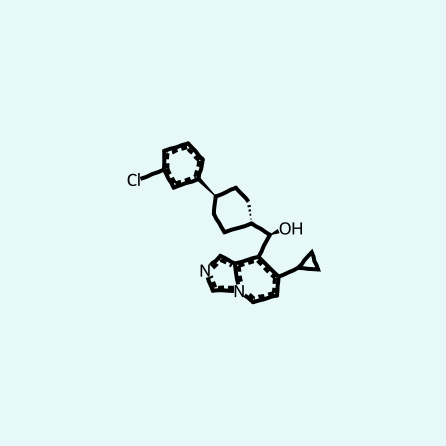 O[C@@H](c1c(C2CC2)ccn2cncc12)[C@H]1CC[C@H](c2cccc(Cl)c2)CC1